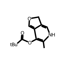 CC1=C(OC(=O)C(C)(C)C)C2=COCC2=CN1